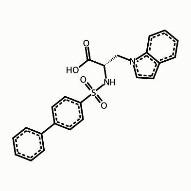 O=C(O)[C@H](Cn1ccc2ccccc21)NS(=O)(=O)c1ccc(-c2ccccc2)cc1